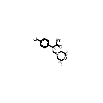 CC(C)C(=O)[C@@H](CN1C[C@@H](C)O[C@@H](C)C1)c1ccc(Cl)cc1